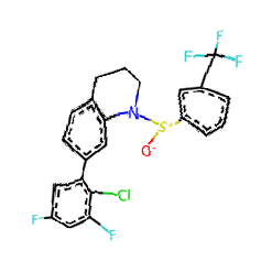 [O-][S+](c1cccc(C(F)(F)F)c1)N1CCCc2ccc(-c3cc(F)cc(F)c3Cl)cc21